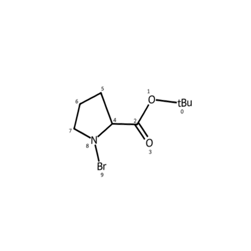 CC(C)(C)OC(=O)C1CCCN1Br